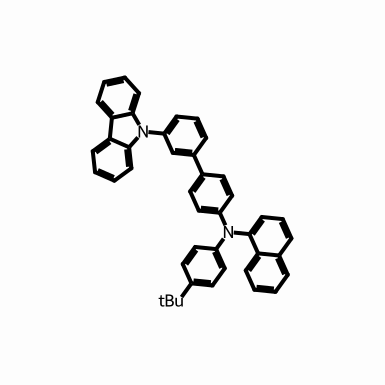 CC(C)(C)c1ccc(N(c2ccc(-c3cccc(-n4c5ccccc5c5ccccc54)c3)cc2)c2cccc3ccccc23)cc1